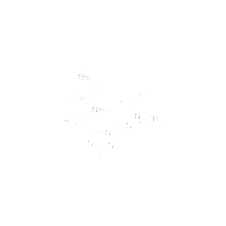 C[C@H](NC(=O)OC(C)(C)C)c1ncnn1C1=NN(C)C(=O)CC1